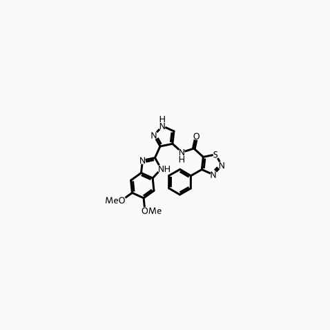 COc1cc2nc(-c3n[nH]cc3NC(=O)c3snnc3-c3ccccc3)[nH]c2cc1OC